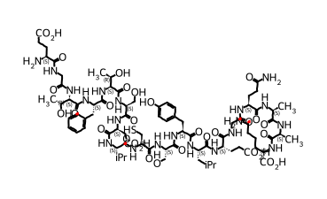 CC(C)C[C@H](NC(=O)[C@H](Cc1ccc(O)cc1)NC(=O)[C@H](CO)NC(=O)[C@H](CS)NC(=O)[C@@H](NC(=O)[C@H](CC(=O)O)NC(=O)[C@H](CO)NC(=O)[C@@H](NC(=O)[C@H](Cc1ccccc1)NC(=O)[C@@H](NC(=O)CNC(=O)[C@@H](N)CCC(=O)O)[C@@H](C)O)[C@@H](C)O)C(C)C)C(=O)N[C@@H](CCC(=O)O)C(=O)NCC(=O)N[C@@H](CCC(N)=O)C(=O)N[C@@H](C)C(=O)N[C@@H](C)C(=O)N[C@@H](CCCCN)C(=O)O